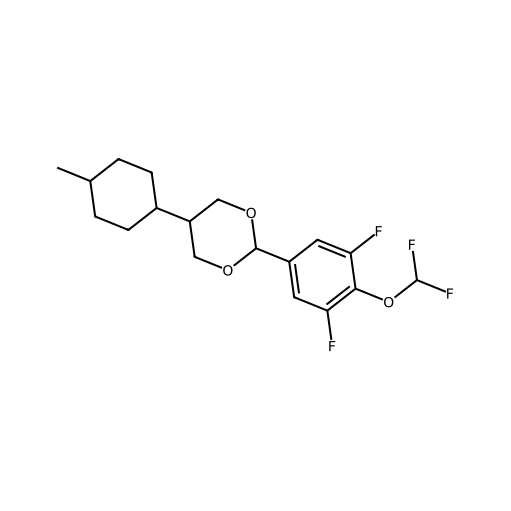 CC1CCC(C2COC(c3cc(F)c(OC(F)F)c(F)c3)OC2)CC1